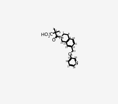 CC(C)(C(=O)O)C(=O)N1CCc2ccc(COc3cccnc3)cc2C1